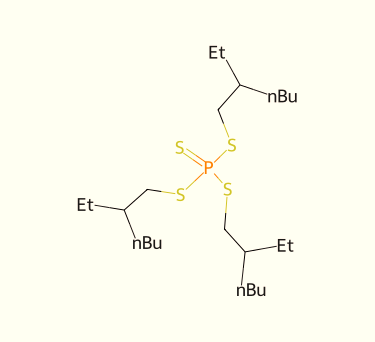 CCCCC(CC)CSP(=S)(SCC(CC)CCCC)SCC(CC)CCCC